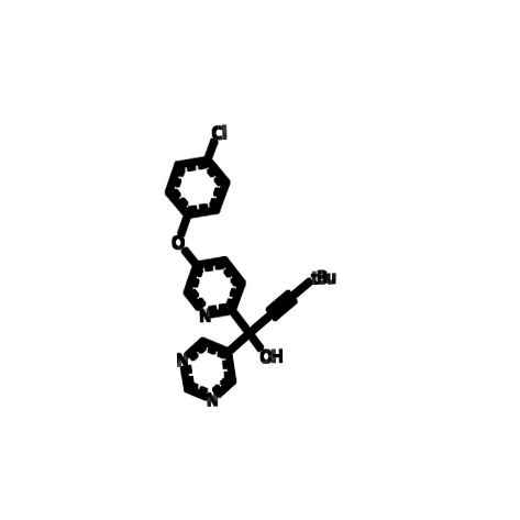 CC(C)(C)C#CC(O)(c1cncnc1)c1ccc(Oc2ccc(Cl)cc2)cn1